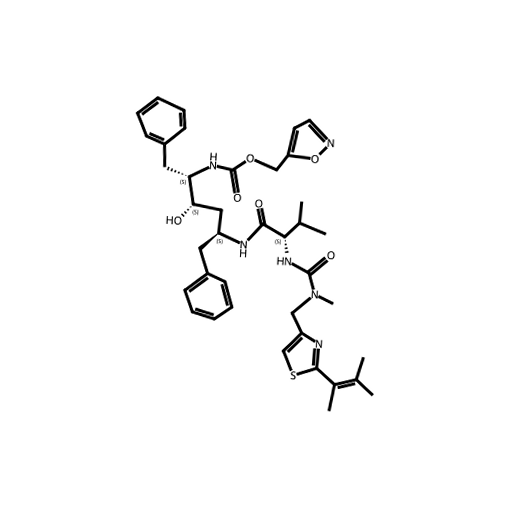 CC(C)=C(C)c1nc(CN(C)C(=O)N[C@H](C(=O)N[C@@H](Cc2ccccc2)C[C@H](O)[C@H](Cc2ccccc2)NC(=O)OCc2ccno2)C(C)C)cs1